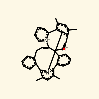 Cc1cc(C)c2c3c1-c1cccc[n+]1/C1=C/Cc4ccccc4-c4c(C)cc(C)c([n+]4-3)-c3ccccc3C1[n+]1ccccc1-2